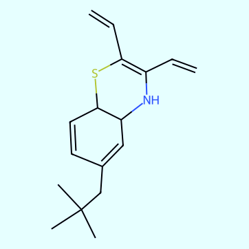 C=CC1=C(C=C)SC2C=CC(CC(C)(C)C)=CC2N1